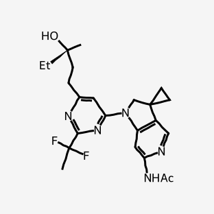 CC[C@](C)(O)CCc1cc(N2CC3(CC3)c3cnc(NC(C)=O)cc32)nc(C(C)(F)F)n1